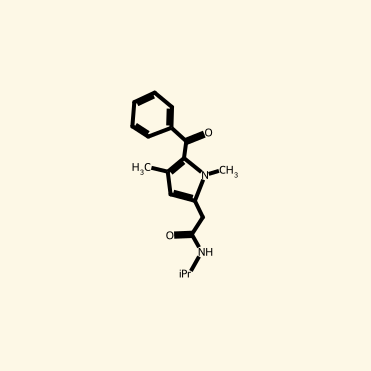 Cc1cc(CC(=O)NC(C)C)n(C)c1C(=O)c1ccccc1